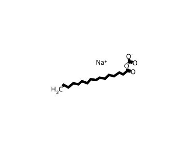 CCCCCCCCCCCCCCCC(=O)OC(=O)[O-].[Na+]